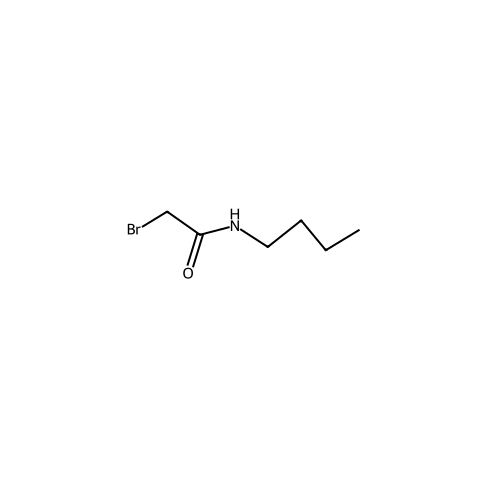 CCCCNC(=O)CBr